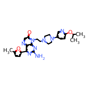 Cc1ccc(-c2nc(N)nc3c2ncc(=O)n3CCN2CCN(c3ccc(OC(C)C)nc3)CC2)o1